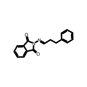 O=C1c2ccccc2C(=O)N1N=CCCc1ccccc1